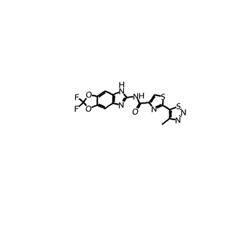 Cc1nnsc1-c1nc(C(=O)Nc2nc3cc4c(cc3[nH]2)OC(F)(F)O4)cs1